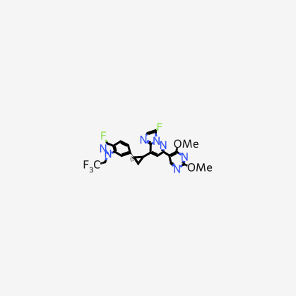 COc1ncc(-c2cc(C3C[C@@H]3c3ccc4c(F)nn(CC(F)(F)F)c4c3)c3ncc(F)n3n2)c(OC)n1